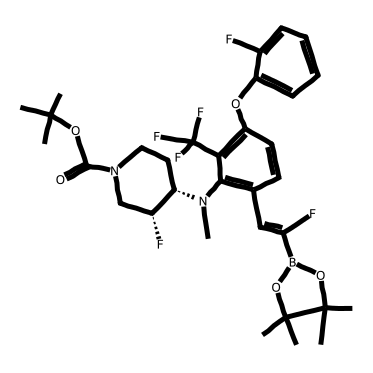 CN(c1c(/C=C(\F)B2OC(C)(C)C(C)(C)O2)ccc(Oc2ccccc2F)c1C(F)(F)F)[C@H]1CCN(C(=O)OC(C)(C)C)C[C@H]1F